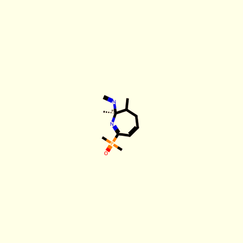 C=N[C@]1(C)N=C(P(C)(C)=O)C=CCC1C